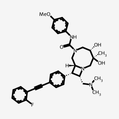 COc1ccc(NC(=O)N2C[C@H]3[C@@H](c4ccc(C#Cc5ccccc5F)cc4)[C@@H](CN(C)C)N3C[C@](C)(O)[C@@H](O)C2)cc1